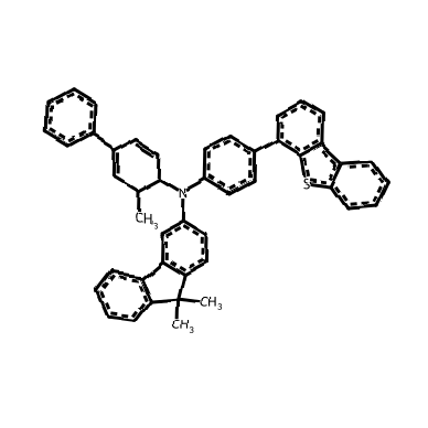 CC1C=C(c2ccccc2)C=CC1N(c1ccc(-c2cccc3c2sc2ccccc23)cc1)c1ccc2c(c1)-c1ccccc1C2(C)C